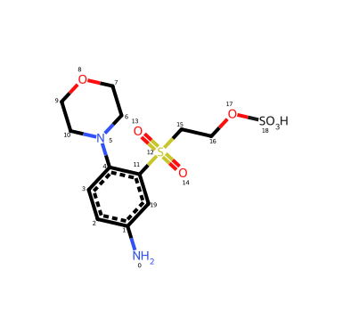 Nc1ccc(N2CCOCC2)c(S(=O)(=O)CCOS(=O)(=O)O)c1